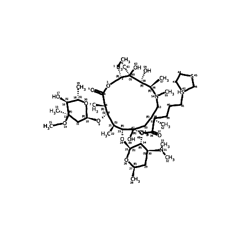 CC[C@H]1OC(=O)[C@H](C)[C@@H](O[C@H]2C[C@@](C)(OC)[C@@H](O)[C@H](C)O2)[C@H](C)[C@@H](O[C@@H]2O[C@H](C)C[C@H](N(C)C)[C@H]2OC(=O)CCCC[SH]2CCSC2)[C@](C)(O)C[C@@H](C)CN(C)[C@H](C)[C@@H](O)[C@]1(C)O